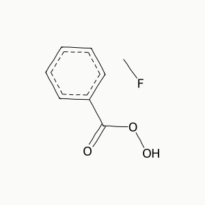 CF.O=C(OO)c1ccccc1